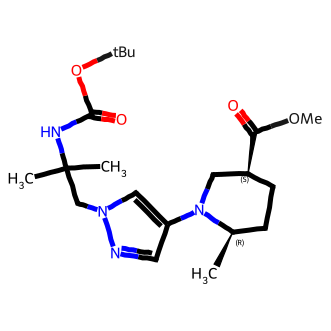 COC(=O)[C@H]1CC[C@@H](C)N(c2cnn(CC(C)(C)NC(=O)OC(C)(C)C)c2)C1